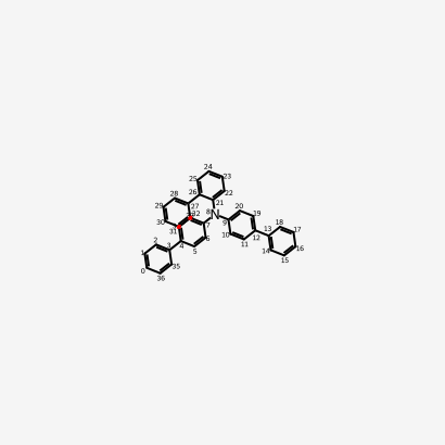 c1ccc(-c2ccc(N(c3ccc(-c4ccccc4)cc3)c3ccccc3-c3ccccc3)cc2)cc1